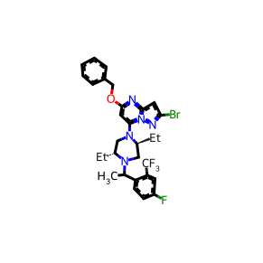 CC[C@H]1CN(C(C)c2ccc(F)cc2C(F)(F)F)[C@H](CC)CN1c1cc(OCc2ccccc2)nc2cc(Br)nn12